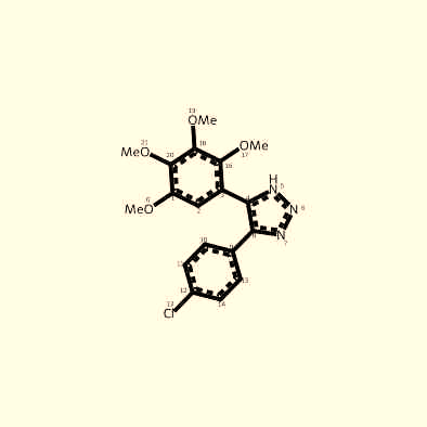 COc1cc(-c2[nH]nnc2-c2ccc(Cl)cc2)c(OC)c(OC)c1OC